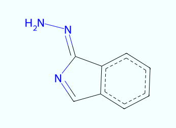 NN=C1N=Cc2ccccc21